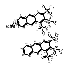 O=S(=O)([O-])c1cc2cc3ccccc3cc2c(S(=O)(=O)[O-])c1S(=O)(=O)[O-].O=S(=O)([O-])c1cc2cc3ccccc3cc2c(S(=O)(=O)[O-])c1S(=O)(=O)[O-].[Mg+2].[Mg+2].[Mg+2]